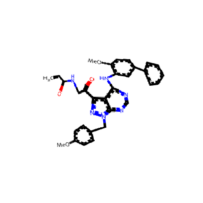 C=CC(=O)NCC(=O)c1nn(Cc2ccc(OC)cc2)c2ncnc(Nc3cc(-c4ccccc4)ccc3OC)c12